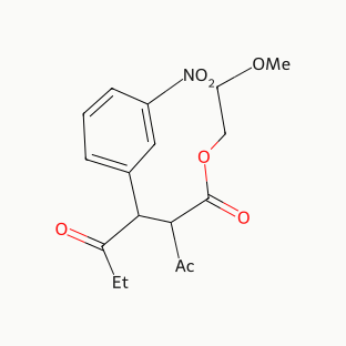 CCC(=O)C(c1cccc([N+](=O)[O-])c1)C(C(C)=O)C(=O)OCCOC